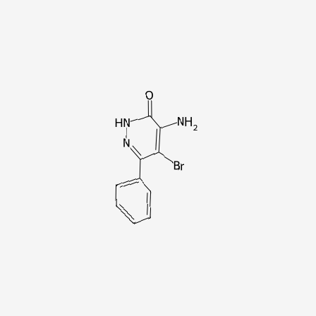 Nc1c(Br)c(-c2ccccc2)n[nH]c1=O